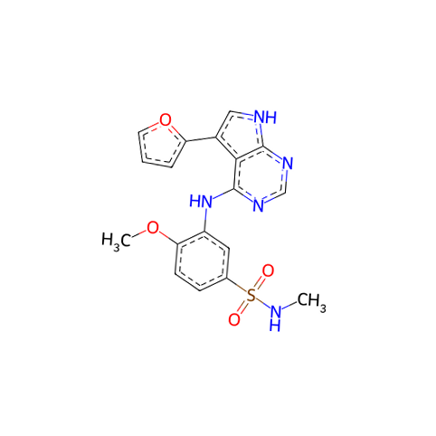 CNS(=O)(=O)c1ccc(OC)c(Nc2ncnc3[nH]cc(-c4ccco4)c23)c1